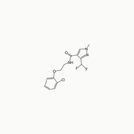 Cn1cc(C(=O)NCCOc2ccccc2Cl)c(C(F)F)n1